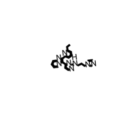 CCc1cccc(-c2nc3ccccn3c2-c2ccnc(NCCCn3ccnc3)n2)n1